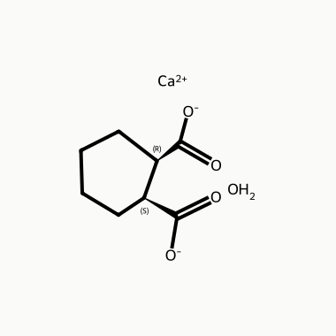 O.O=C([O-])[C@H]1CCCC[C@H]1C(=O)[O-].[Ca+2]